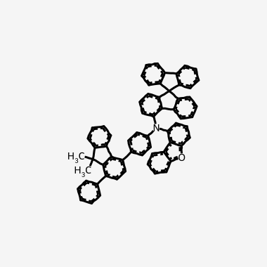 CC1(C)c2ccccc2-c2c(-c3ccc(N(c4cccc5c4-c4ccccc4C54c5ccccc5-c5ccccc54)c4cccc5oc6ccccc6c45)cc3)ccc(-c3ccccc3)c21